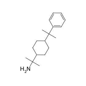 CC(C)(N)C1CCC(C(C)(C)c2ccccc2)CC1